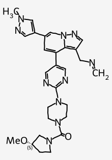 C=NCc1cnn2cc(-c3cnn(C)c3)cc(-c3cnc(N4CCN(C(=O)N5CC[C@H](OC)C5)CC4)nc3)c12